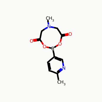 Cc1ccc(B2OC(=O)CN(C)CC(=O)O2)cn1